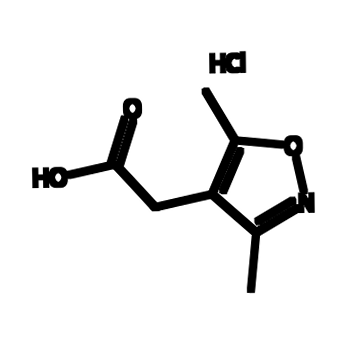 Cc1noc(C)c1CC(=O)O.Cl